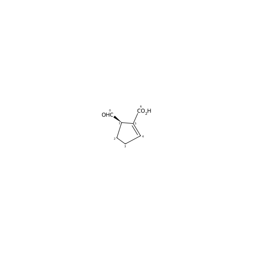 O=C[C@@H]1CCC=C1C(=O)O